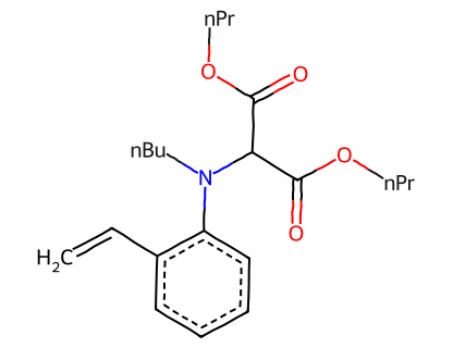 C=Cc1ccccc1N(CCCC)C(C(=O)OCCC)C(=O)OCCC